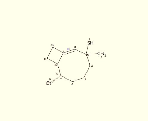 CC[C@H]1CCCC(C)(S)/C=C2/CCC21